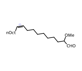 CCCCCCCC/C=C\CCCCCCCC(C=O)OC